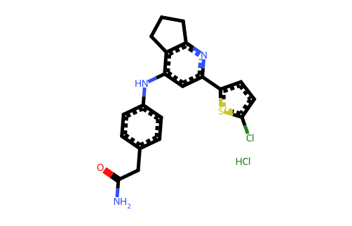 Cl.NC(=O)Cc1ccc(Nc2cc(-c3ccc(Cl)s3)nc3c2CCC3)cc1